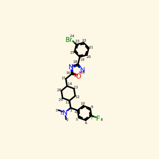 CN(C)C(c1ccc(F)cc1)C1CCC(Cc2nc(-c3cccc(Br)c3)no2)CC1